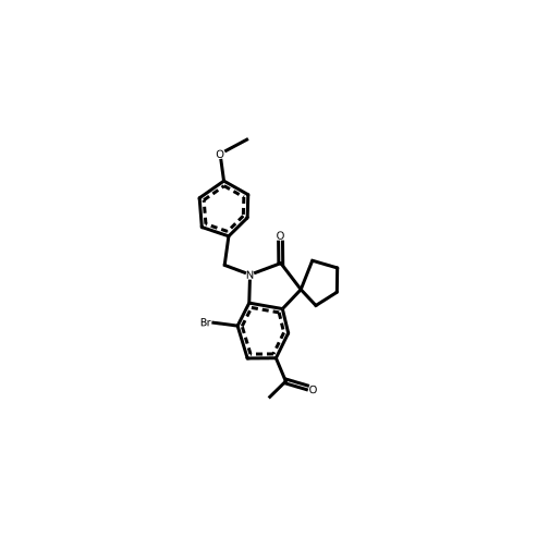 COc1ccc(CN2C(=O)C3(CCCC3)c3cc(C(C)=O)cc(Br)c32)cc1